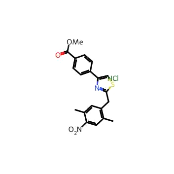 COC(=O)c1ccc(-c2csc(Cc3cc(C)c([N+](=O)[O-])cc3C)n2)cc1.Cl